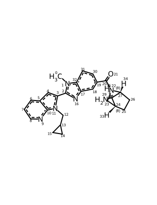 Cn1c(-c2cc3cccnc3n2CC2CC2)nc2cc(C(=O)N3C[C@H]4CC[C@@H]3[C@@H]4N)ccc21